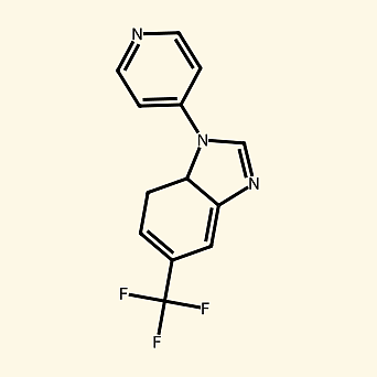 FC(F)(F)C1=CCC2C(=C1)N=CN2c1ccncc1